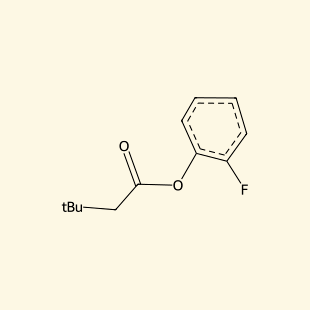 CC(C)(C)CC(=O)Oc1ccccc1F